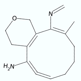 C=N/C1=C(\C)CCCC=C=C(N)C2=C1COCC2